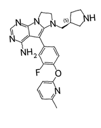 Cc1cccc(Oc2ccc(-c3c4n(c5ncnc(N)c35)CCN4C[C@H]3CCNC3)cc2F)n1